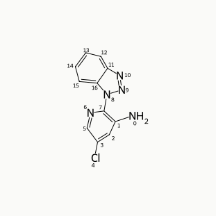 Nc1cc(Cl)cnc1-n1nnc2ccccc21